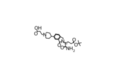 CC(C)(C)OC(=O)CC[C@@H](C(N)=O)N1Cc2ccc(C3CCN(CCC(=O)O)CC3)cc2C1=O